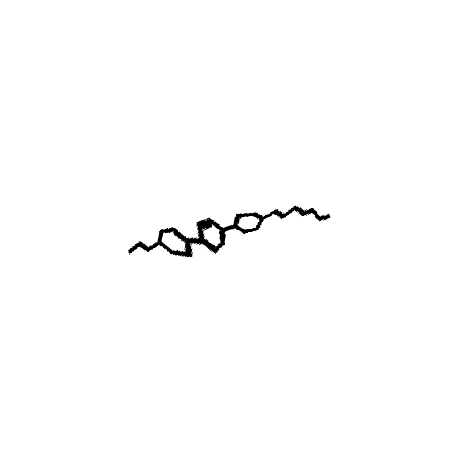 CCCCCCCC1CCC(c2ccc(C3=CCC(CCC)CC3)cc2)CC1